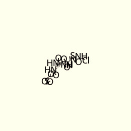 CON=C(C(=O)N[C@H]1C(=O)N[C@H]1CNC(=O)OCCS(C)(=O)=O)c1csc(NC(=O)CCl)n1